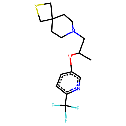 CC(CN1CCC2(CC1)CSC2)Oc1ccc(C(F)(F)F)nc1